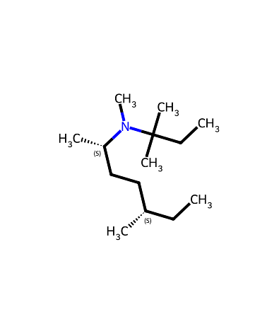 CC[C@H](C)CC[C@H](C)N(C)C(C)(C)CC